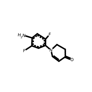 Nc1cc(F)c(N2C=CC(=O)CC2)cc1F